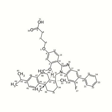 COc1cc(OCCCC(=O)O)ccc1-c1nc2cc(-c3ccccc3)c(F)cc2n1C[C@@]1(C)CCC[C@]2(C)c3ccc(C(C)C)cc3CC[C@@H]12